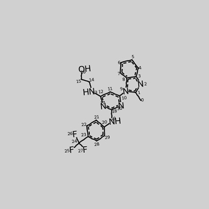 Cc1nc2ccccc2n1-c1cc(NCCO)nc(Nc2ccc(C(F)(F)F)cc2)n1